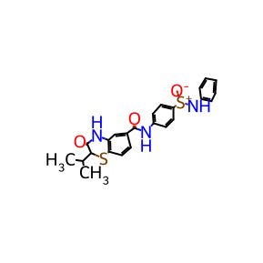 CC(C)C1Sc2ccc(C(=O)Nc3ccc([S+]([O-])Nc4ccccc4)cc3)cc2NC1=O